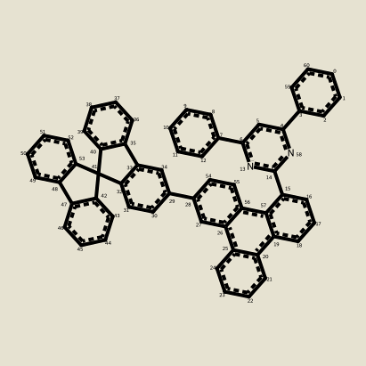 c1ccc(-c2cc(-c3ccccc3)nc(-c3cccc4c5ccccc5c5cc(-c6ccc7c(c6)-c6ccccc6C76c7ccccc7-c7ccccc76)ccc5c34)n2)cc1